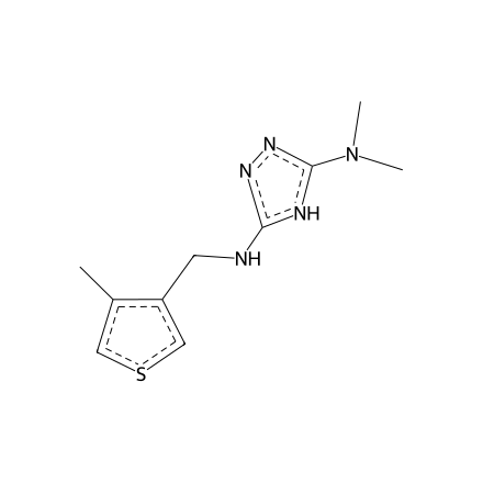 Cc1cscc1CNc1nnc(N(C)C)[nH]1